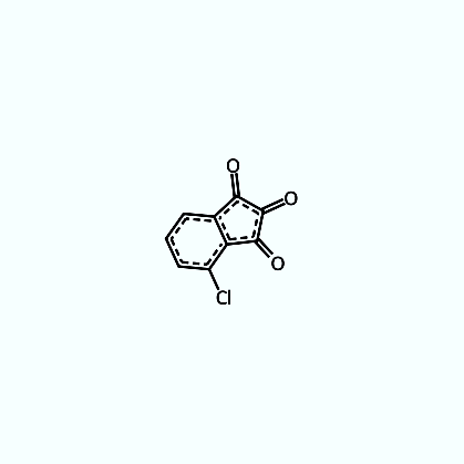 O=c1c(=O)c2cccc(Cl)c2c1=O